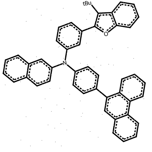 CC(C)(C)c1c(-c2cccc(N(c3ccc(-c4cc5ccccc5c5ccccc45)cc3)c3ccc4ccccc4c3)c2)oc2ccccc12